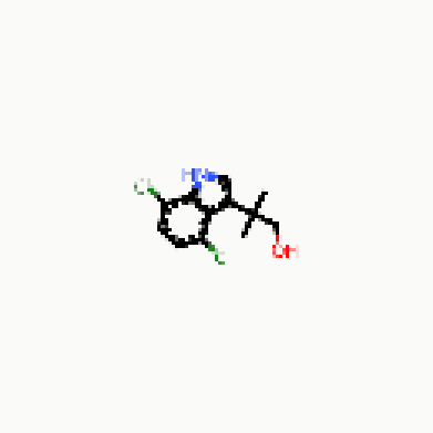 CC(C)(CO)c1c[nH]c2c(Cl)ccc(Cl)c12